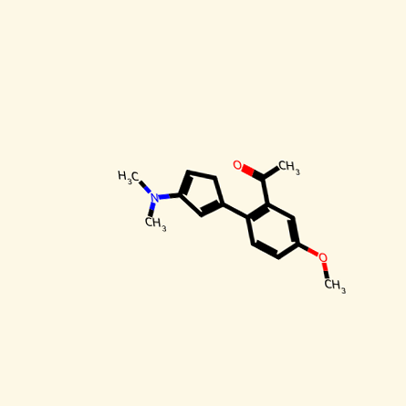 COc1ccc(C2=CC(N(C)C)=CC2)c(C(C)=O)c1